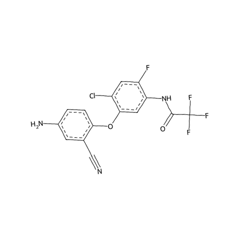 N#Cc1cc(N)ccc1Oc1cc(NC(=O)C(F)(F)F)c(F)cc1Cl